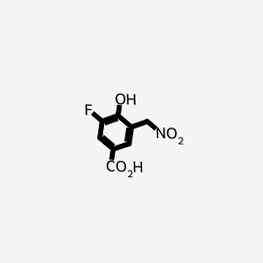 O=C(O)c1cc(F)c(O)c(C[N+](=O)[O-])c1